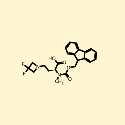 CN(C(=O)OCC1c2ccccc2-c2ccccc21)[C@@H](CCN1CC(F)(F)C1)C(=O)O